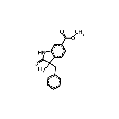 COC(=O)c1ccc2c(c1)NC(=O)C2(C)Cc1ccccc1